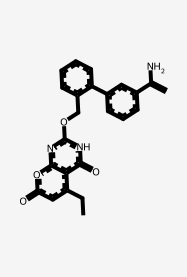 C=C(N)c1cccc(-c2ccccc2COc2nc3oc(=O)cc(CC)c3c(=O)[nH]2)c1